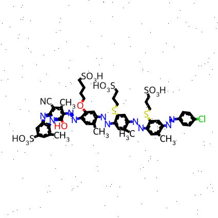 Cc1cc(N=Nc2cc(SCCCS(=O)(=O)O)c(N=Nc3cc(OCCCCS(=O)(=O)O)c(N=Nc4c(C)c(C#N)c5nc6cc(S(=O)(=O)O)cc(C)c6n5c4O)cc3C)cc2C)c(SCCCS(=O)(=O)O)cc1N=Nc1ccc(Cl)cc1